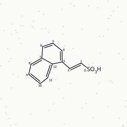 O=S(=O)(O)C=Cc1cccc2ccccc12